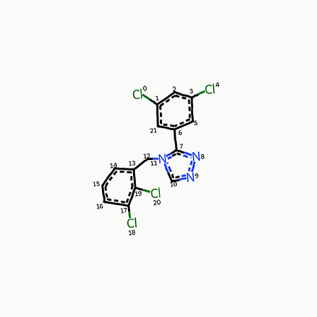 Clc1cc(Cl)cc(-c2nncn2Cc2cccc(Cl)c2Cl)c1